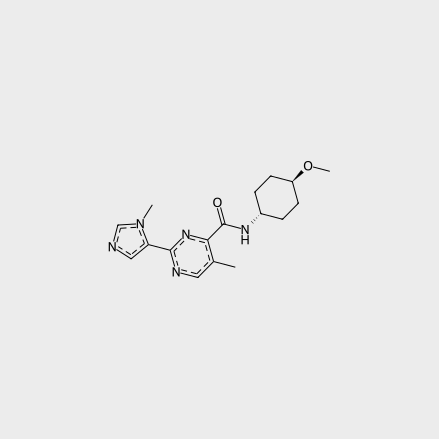 CO[C@H]1CC[C@H](NC(=O)c2nc(-c3cncn3C)ncc2C)CC1